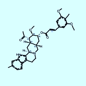 COc1cc(/C=C/C(=O)O[C@@H]2C[C@@H]3CN4CCc5c([nH]c6cc(C)ccc56)[C@H]4C[C@@H]3[C@H](C(C)=O)[C@H]2OC)cc(OC)c1C